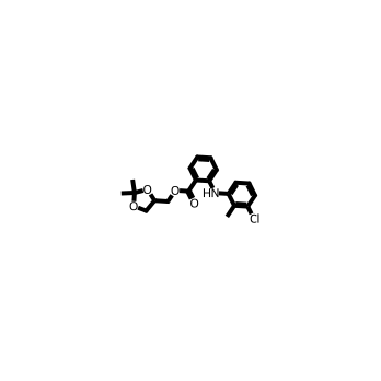 Cc1c(Cl)cccc1Nc1ccccc1C(=O)OCC1COC(C)(C)O1